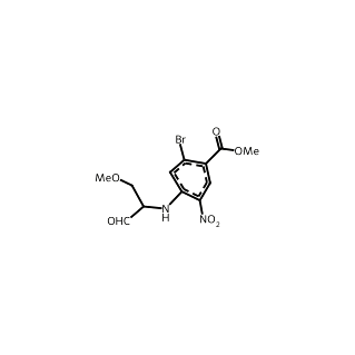 COCC(C=O)Nc1cc(Br)c(C(=O)OC)cc1[N+](=O)[O-]